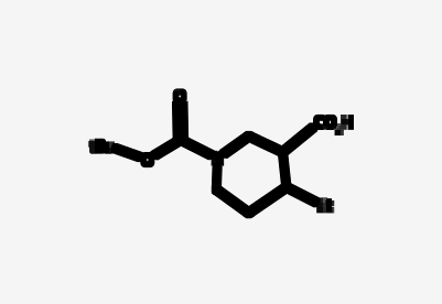 CCC1CCN(C(=O)OC(C)(C)C)CC1C(=O)O